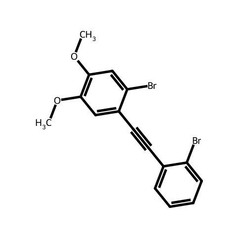 COc1cc(Br)c(C#Cc2ccccc2Br)cc1OC